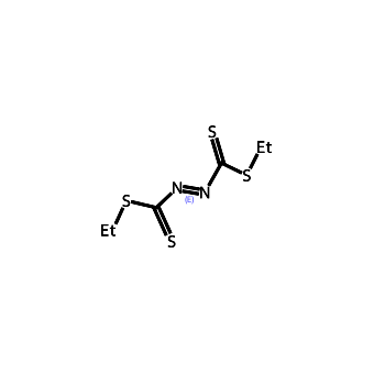 CCSC(=S)/N=N/C(=S)SCC